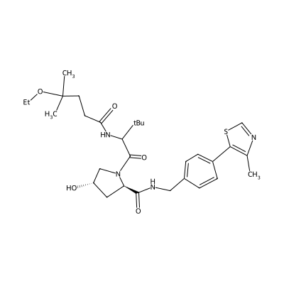 CCOC(C)(C)CCC(=O)NC(C(=O)N1C[C@@H](O)C[C@@H]1C(=O)NCc1ccc(-c2scnc2C)cc1)C(C)(C)C